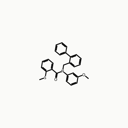 COc1cccc(N(Cc2ccccc2-c2ccccc2)C(=O)c2ccccc2SC)c1